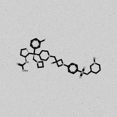 COC(=O)N[C@H]1CCC[C@@H]1[C@](CN1CCC1)(c1cccc(F)c1)C1CCN(CC2(F)CN(c3ccc(S(=O)(=O)CC4CCCN(C(C)=O)C4)cc3)C2)CC1